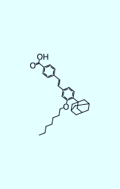 CCCCCCCOc1cc(C=Cc2ccc(C(=O)O)cc2)ccc1C12CC3CC(CC(C3)C1)C2